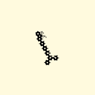 CC1(C)c2ccccc2-c2ccc(-c3ccc(-c4ccc(-c5ccc(-c6cc(-c7ccccc7)cc(-c7ccccn7)n6)nc5)cc4)cc3)cc21